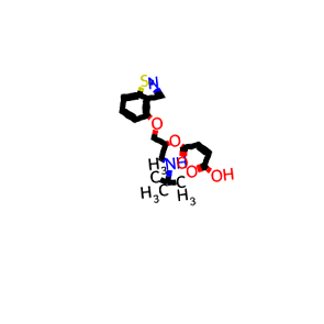 CC(C)(C)NCC(COc1cccc2sncc12)OC(=O)/C=C\C(=O)O